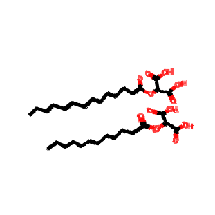 CCCCCCCCCCCC(=O)OC(C(=O)O)C(=O)O.CCCCCCCCCCCCCC(=O)OC(C(=O)O)C(=O)O